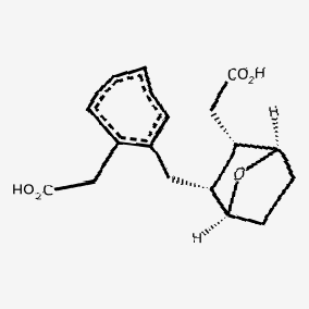 O=C(O)Cc1ccccc1C[C@@H]1[C@H](CC(=O)O)[C@H]2CC[C@@H]1O2